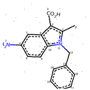 Cc1c(C(=O)O)c2cc(N)ccc2n1Cc1ccccc1